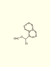 CCC(O[C]=O)c1cccc2ccccc12